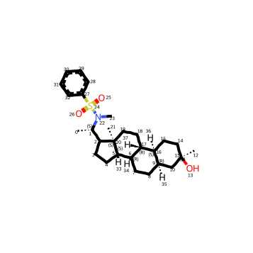 C[C@@H](C1CC[C@H]2[C@@H]3CC[C@@H]4C[C@](C)(O)CC[C@@H]4[C@H]3CC[C@]12C)N(C)S(=O)(=O)c1ccccc1